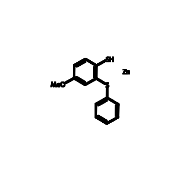 COc1ccc(S)c(Sc2ccccc2)c1.[Zn]